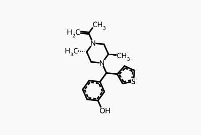 C=C(C)N1C[C@@H](C)N(C(c2ccsc2)c2cccc(O)c2)C[C@@H]1C